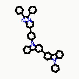 c1ccc(-c2nc3cc(-c4ccc(-n5c6ccccc6c6cc(-c7ccc8c(c7)c7ccccc7n8-c7ccccc7)ccc65)cc4)ccn3c2-c2ccccc2)cc1